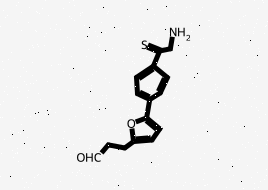 NCC(=S)c1ccc(-c2ccc(CCC=O)o2)cc1